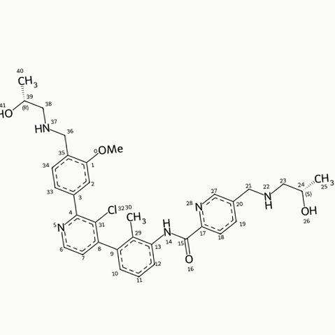 COc1cc(-c2nccc(-c3cccc(NC(=O)c4ccc(CNC[C@H](C)O)cn4)c3C)c2Cl)ccc1CNC[C@@H](C)O